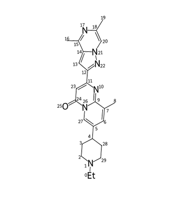 CCN1CCC(c2cc(C)c3nc(-c4cc5c(C)nc(C)cn5n4)cc(=O)n3c2)CC1